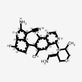 CC1COC/C(=C\N)N1c1ncnc2c(F)c(-c3ccc(F)c4sc(N)c(C#N)c34)c(Cl)cc12